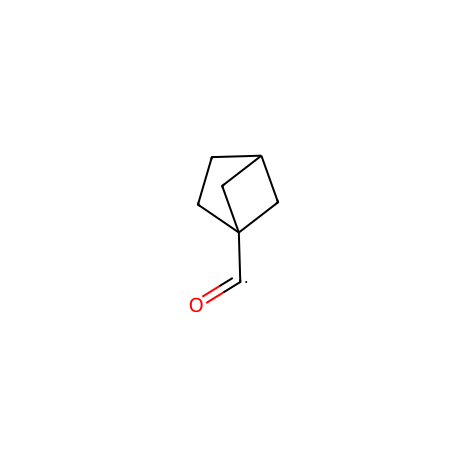 O=[C]C12CCC(C1)C2